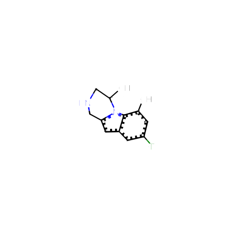 Cc1cc(F)cc2cc3n(c12)C(C)CNC3